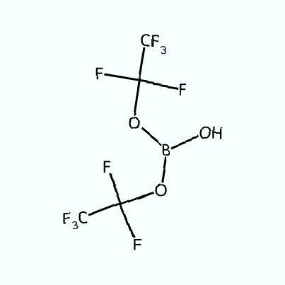 OB(OC(F)(F)C(F)(F)F)OC(F)(F)C(F)(F)F